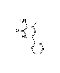 Cc1cc(-c2ccccc2)[nH]c(=O)c1N